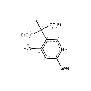 CCOC(=O)C(C)(C(=O)OCC)c1cnc(SC)nc1N